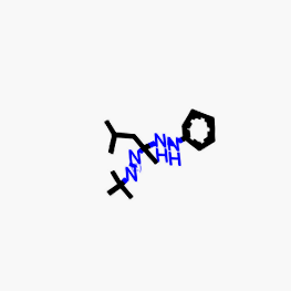 CC(C)CC(C)(/N=N/C(C)(C)C)NNc1ccccc1